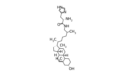 CC(CCC[C@@H](C)[C@H]1CC[C@H]2[C@@H]3CC=C4C[C@@H](O)CC[C@]4(C)[C@H]3CC[C@]12C)CNC(=O)[C@@H](N)Cc1c[nH]cn1